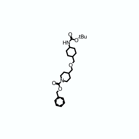 CC(C)(C)OC(=O)NC1CCC(COCC2CCN(C(=O)OCc3ccccc3)CC2)CC1